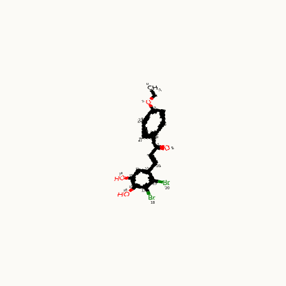 CCOc1ccc(C(=O)/C=C/c2cc(O)c(O)c(Br)c2Br)cc1